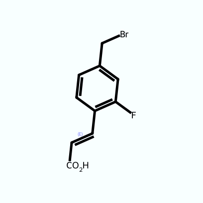 O=C(O)/C=C/c1ccc(CBr)cc1F